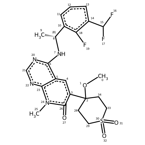 COC1(c2cc3c(N[C@H](C)c4cccc(C(F)F)c4F)ncnc3n(C)c2=O)CCS(=O)(=O)CC1